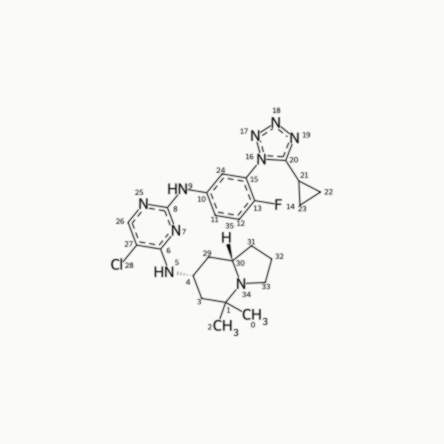 CC1(C)C[C@H](Nc2nc(Nc3ccc(F)c(-n4nnnc4C4CC4)c3)ncc2Cl)C[C@@H]2CCCN21